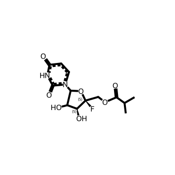 CC(C)C(=O)OC[C@@]1(F)OC(n2ccc(=O)[nH]c2=O)C(O)[C@@H]1O